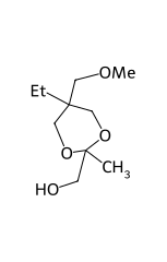 CCC1(COC)COC(C)(CO)OC1